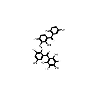 O=C(c1cc(O)ccc1O)c1ccc(O)c(OOc2c(O)cc(O)cc2C(=O)c2c(O)c(O)c(O)c(O)c2O)c1O